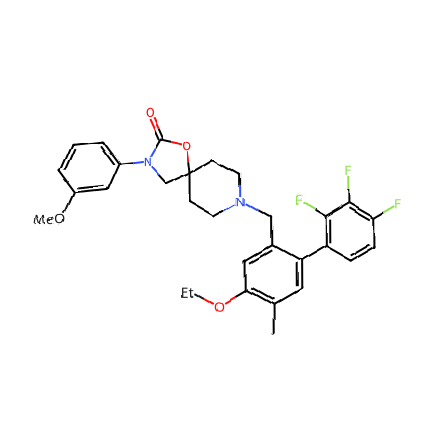 CCOc1cc(CN2CCC3(CC2)CN(c2cccc(OC)c2)C(=O)O3)c(-c2ccc(F)c(F)c2F)cc1C